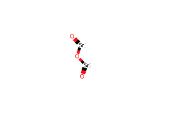 [O]=[Sr][O][Sr]=[O]